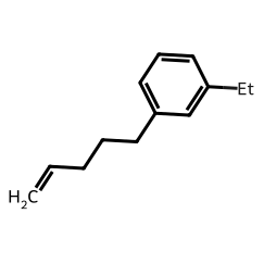 C=CCCCc1cccc(CC)c1